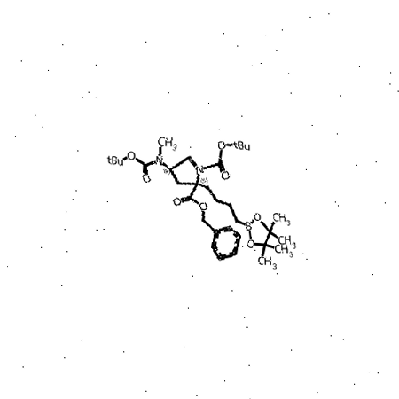 CN(C(=O)OC(C)(C)C)[C@H]1CN(C(=O)OC(C)(C)C)[C@](CCCCB2OC(C)(C)C(C)(C)O2)(C(=O)OCc2ccccc2)C1